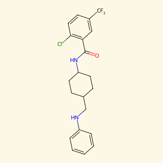 O=C(NC1CCC(CNc2ccccc2)CC1)c1cc(C(F)(F)F)ccc1Cl